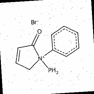 O=C1C=CC[N+]1(P)c1ccccc1.[Br-]